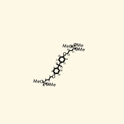 CO[Si](C)(CCCOc1ccc(C(C)(C)c2ccc(OCCC[Si](OC)(OC)OC)cc2)cc1)OC